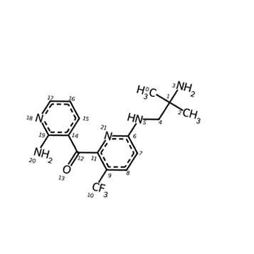 CC(C)(N)CNc1ccc(C(F)(F)F)c(C(=O)c2cccnc2N)n1